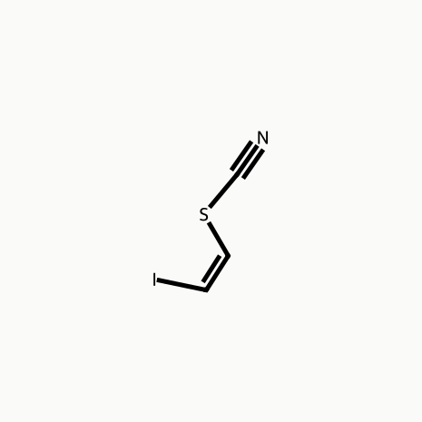 N#CS/C=C\I